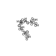 CC1(C)C[C@@H](Nc2cccc(-c3sc(C(=O)O)c(OCC(=O)O)c3Cl)c2)CCN1S(=O)(=O)Cc1cccc(NC(=O)N2CCC(n3c(=O)n(C4CCC(=O)NC4=O)c4ccccc43)CC2)c1